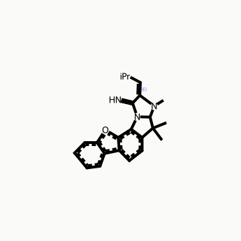 CC(C)/C=C1\C(=N)N2c3c(ccc4c3oc3ccccc34)C(C)(C)C2N1C